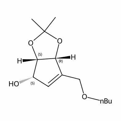 CCCCOCC1=C[C@H](O)[C@@H]2OC(C)(C)O[C@H]12